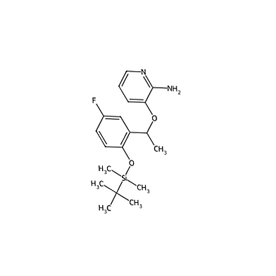 CC(Oc1cccnc1N)c1cc(F)ccc1O[Si](C)(C)C(C)(C)C